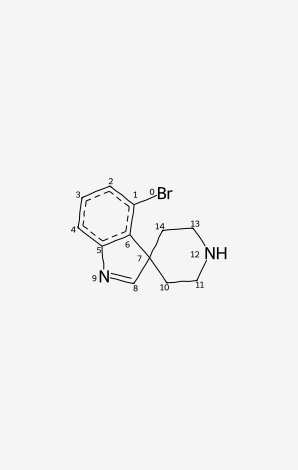 Brc1cccc2c1C1(C=N2)CCNCC1